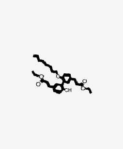 CCCCCCCCOc1ccc(CCC(=O)OCC)cc1-c1cc(CCC(=O)OCC)ccc1O